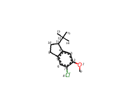 COc1cc2c(cc1Cl)CCC2C(C)(C)C